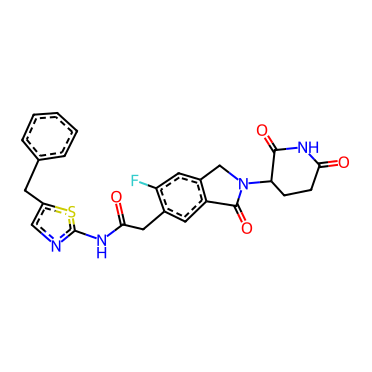 O=C1CCC(N2Cc3cc(F)c(CC(=O)Nc4ncc(Cc5ccccc5)s4)cc3C2=O)C(=O)N1